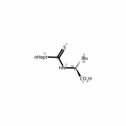 CCCCCCCC(=S)N[C@H](C(=O)O)[C@@H](C)CC